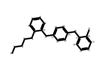 CCCCCc1ccccc1Cc1ccc(Cc2ccccc2C)cc1